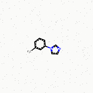 FC(F)(F)c1cccc(-n2[c]ncc2)c1